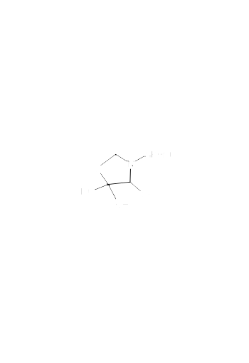 CCCCCN1CSC(C)(C)C1C(=O)O